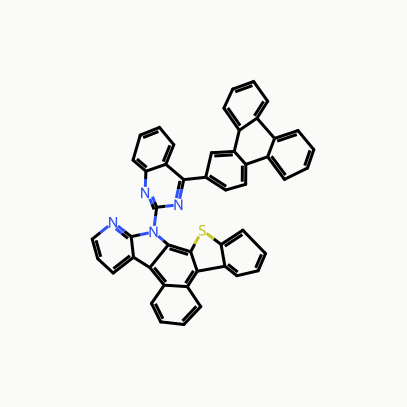 c1ccc2c(-c3ccc4c5ccccc5c5ccccc5c4c3)nc(-n3c4ncccc4c4c5ccccc5c5c6ccccc6sc5c43)nc2c1